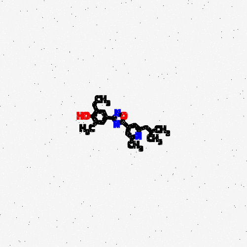 CCc1cc(-c2noc(-c3cc(C)nc(CC(C)C)c3)n2)cc(C)c1O